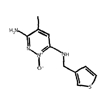 Cc1cc(NCc2ccsc2)[n+]([O-])nc1N